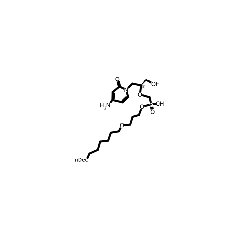 CCCCCCCCCCCCCCCCOCCCOP(=O)(O)CO[C@H](CO)Cn1ccc(N)cc1=O